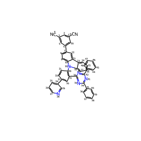 N#Cc1cc(C#N)cc(-c2ccc3c(c2)c2ccccc2n3-c2ccc(-c3cccnc3)cc2-c2nc(-c3ccccc3)nc(-c3ccccc3)n2)c1